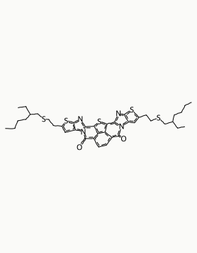 CCCCC(CC)CSCCc1cc2c(nc3c4sc5c6c(ccc(c(=O)n23)c46)c(=O)n2c3cc(CCSCC(CC)CCCC)sc3nc52)s1